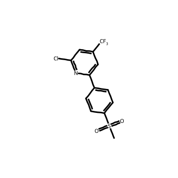 CS(=O)(=O)c1ccc(-c2cc(C(F)(F)F)cc(Cl)n2)cc1